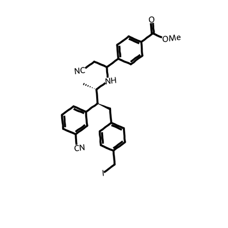 COC(=O)c1ccc(C(CC#N)N[C@@H](C)[C@@H](Cc2ccc(CI)cc2)c2cccc(C#N)c2)cc1